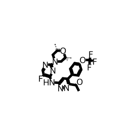 CC(=O)c1nnc(Nc2nc(N3C[C@@H](C)O[C@@H](C)C3)ncc2F)cc1-c1ccc(OC(F)(F)F)cc1